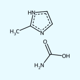 Cc1ncc[nH]1.NC(=O)O